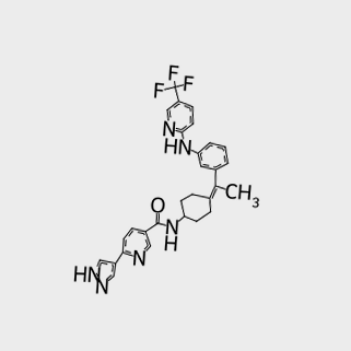 CC(=C1CCC(NC(=O)c2ccc(-c3cn[nH]c3)nc2)CC1)c1cccc(Nc2ccc(C(F)(F)F)cn2)c1